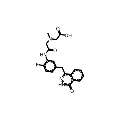 CN(CC(=O)O)CC(=O)Nc1cc(Cc2n[nH]c(=O)c3ccccc23)ccc1F